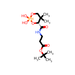 CC(C)(C)OC(=O)CCNC(=O)[C@@H]1O[PH](O)(O)OCC1(C)C